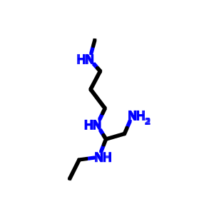 CCNC(CN)NCCCNC